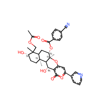 CC(=O)OCC1(C)C2C[C@H](OC(=O)c3ccc(C#N)cc3)[C@@]3(C)Oc4cc(-c5cccnc5)oc(=O)c4[C@H](O)C3[C@@]2(C)CC[C@@H]1O